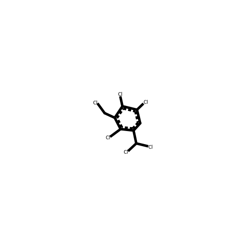 ClCc1c(Cl)c(Cl)cc(C(Cl)Cl)c1Cl